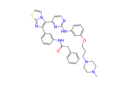 CN1CCN(CCCOc2cccc(Nc3nccc(-c4c(-c5cccc(NC(=O)Cc6ccccc6)c5)nc5sccn45)n3)c2)CC1